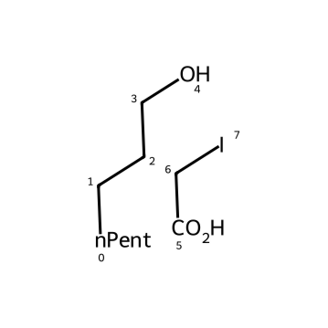 CCCCCCCCO.O=C(O)CI